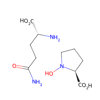 NC(=O)CC[C@@H](N)C(=O)O.O=C(O)[C@@H]1CCCN1O